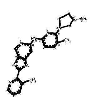 Cc1cccnc1-c1nc2cc(Nc3ccc(C)c(N4CC[C@H](N)C4)n3)ncc2s1